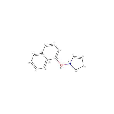 C1=CN(Oc2cccc3ccccc23)CC1